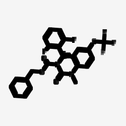 CN(C(=O)N(C(=O)OCc1ccccc1)C(=O)c1c(F)cccc1F)c1ccc(SC(F)(F)F)cc1F